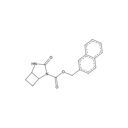 O=C1NC2CCC2N1C(=O)OCc1ccc2ccccc2c1